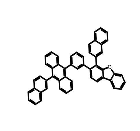 c1cc(-c2ccc3c(oc4ccccc43)c2-c2ccc3ccccc3c2)cc(-c2c3ccccc3c(-c3ccc4ccccc4c3)c3ccccc23)c1